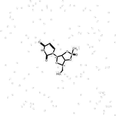 CP1(=O)OC2C(O1)[C@@H](CO)O[C@H]2n1ccc(=O)[nH]c1=O